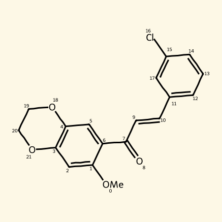 COc1cc2c(cc1C(=O)/C=C/c1cccc(Cl)c1)OCCO2